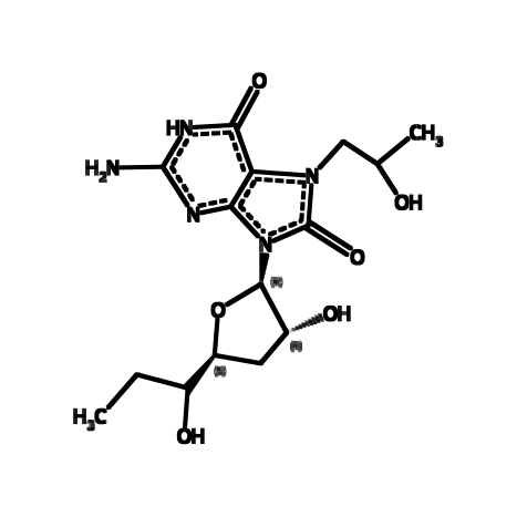 CCC(O)[C@@H]1C[C@@H](O)[C@H](n2c(=O)n(CC(C)O)c3c(=O)[nH]c(N)nc32)O1